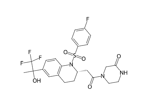 CC(O)(c1ccc2c(c1)CC[C@@H](CC(=O)N1CCNC(=O)C1)N2S(=O)(=O)c1ccc(F)cc1)C(F)(F)F